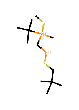 CS[PH](C)(CPSCC(C)(C)C)C(C)(C)C